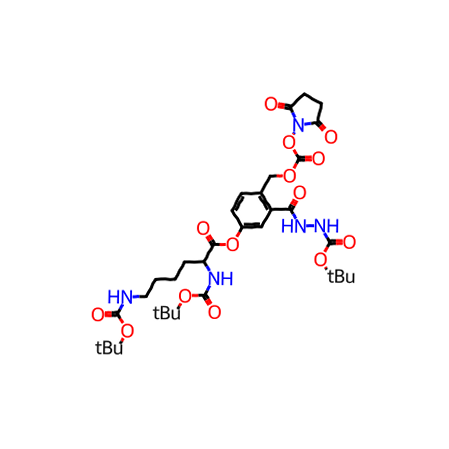 CC(C)(C)OC(=O)NCCCCC(NC(=O)OC(C)(C)C)C(=O)Oc1ccc(COC(=O)ON2C(=O)CCC2=O)c(C(=O)NNC(=O)OC(C)(C)C)c1